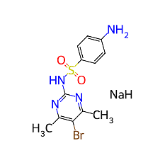 Cc1nc(NS(=O)(=O)c2ccc(N)cc2)nc(C)c1Br.[NaH]